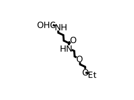 CCOCCOCCNC(=O)CCCNC=O